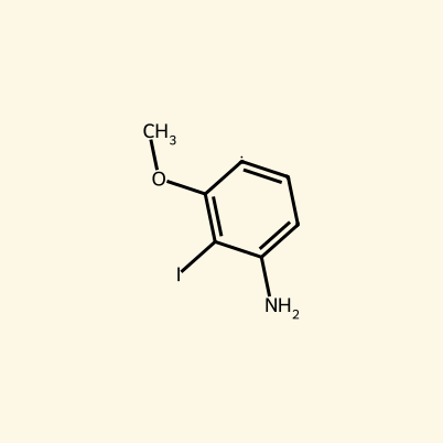 COc1[c]ccc(N)c1I